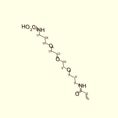 C=CC(=O)NCCCOCCOCCOCCCNC(=O)O